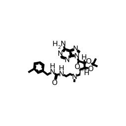 Cc1cccc(CNC(=O)NCCN(C)C[C@H]2OC(n3cnc4c(N)ncnc43)[C@@H]3OC(C)(C)O[C@H]23)c1